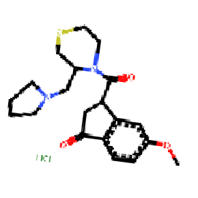 COc1ccc2c(c1)C(C(=O)N1CCSCC1CN1CCCC1)CC2=O.Cl